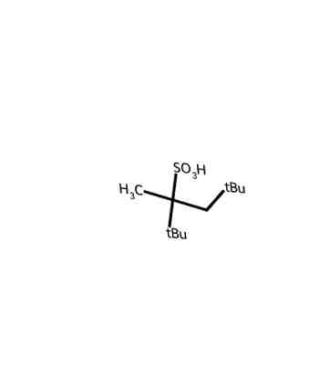 CC(C)(C)CC(C)(C(C)(C)C)S(=O)(=O)O